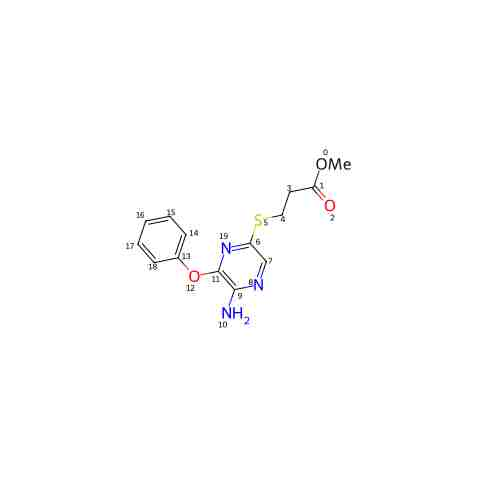 COC(=O)CCSc1cnc(N)c(Oc2ccccc2)n1